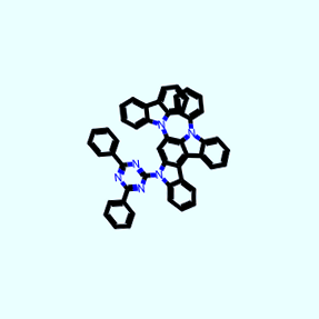 c1ccc(-c2nc(-c3ccccc3)nc(-n3c4ccccc4c4c5c6ccccc6n(-c6ccccc6)c5c(-n5c6ccccc6c6ccccc65)cc43)n2)cc1